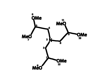 COC(CN(CC(OC)OC)CC(OC)OC)OC